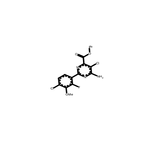 COc1c(Cl)ccc(-c2nc(N)c(Cl)c(C(=O)OC(C)C)n2)c1F